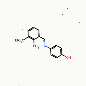 CCOC(=O)c1cccc(C=Nc2ccc(O)cc2)c1C(=O)OCC